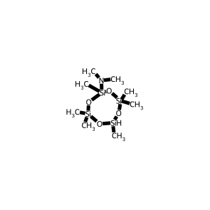 CN(C)[Si]1(C)O[Si](C)(C)O[SiH](C)O[Si](C)(C)O1